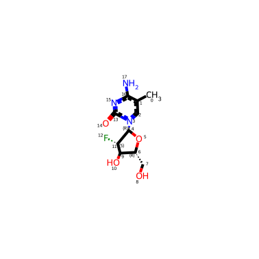 Cc1cn([C@@H]2O[C@H](CO)C(O)[C@@H]2F)c(=O)nc1N